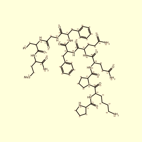 CSCCC(NC(=O)C(CC(C)C)NC(=O)CNC(=O)C(Cc1ccccc1)NC(=O)C(Cc1ccccc1)NC(=O)C(CCC(N)=O)NC(=O)C(CCC(N)=O)NC(=O)C1CCCN1C(=O)C(CCCCN)NC(=O)C1CCCN1)C(N)=O